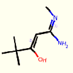 C/N=C(N)\C=C(/O)C(C)(C)C